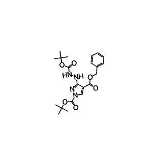 CC(C)(C)OC(=O)NNc1nn(C(=O)OC(C)(C)C)cc1C(=O)OCc1ccccc1